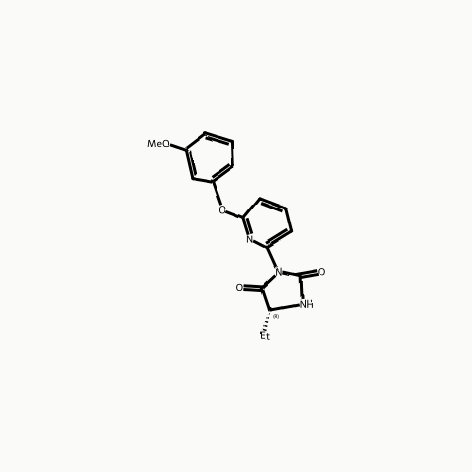 CC[C@H]1NC(=O)N(c2cccc(Oc3cccc(OC)c3)n2)C1=O